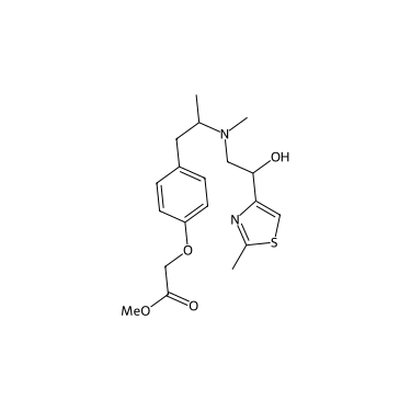 COC(=O)COc1ccc(CC(C)N(C)CC(O)c2csc(C)n2)cc1